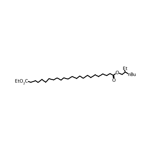 CCCCC(CC)COC(=O)CCCCCCCCCCCCCCCCCCCCCCC(=O)OCC